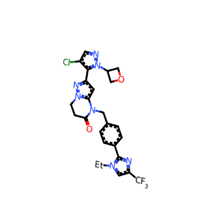 CCn1cc(C(F)(F)F)nc1-c1ccc(CN2C(=O)CCn3nc(-c4c(Cl)cnn4C4COC4)cc32)cc1